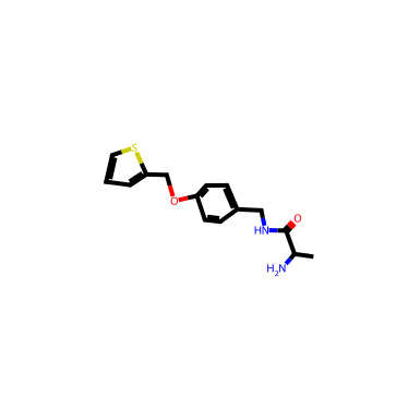 CC(N)C(=O)NCc1ccc(OCc2cccs2)cc1